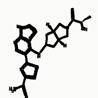 C[C@H](O)C(=O)N1C[C@H]2CC(Nc3c(-c4ncc(C(N)=O)s4)cnc4[nH]ccc34)C[C@H]2C1